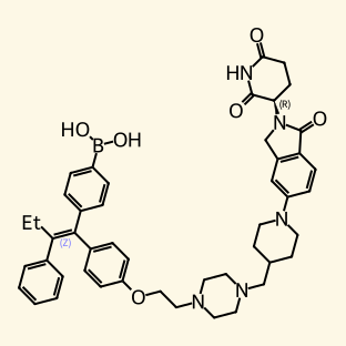 CC/C(=C(/c1ccc(OCCN2CCN(CC3CCN(c4ccc5c(c4)CN([C@@H]4CCC(=O)NC4=O)C5=O)CC3)CC2)cc1)c1ccc(B(O)O)cc1)c1ccccc1